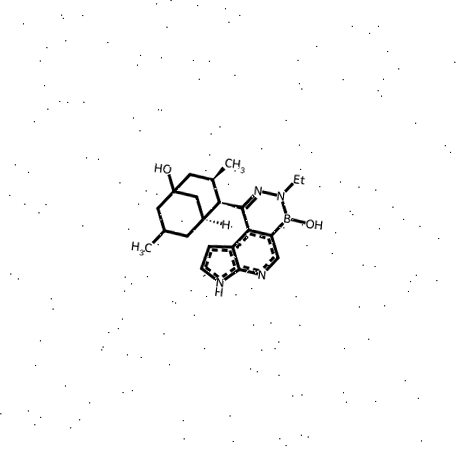 CCN1N=C([C@H]2[C@H]3CC(C)CC(O)(C3)C[C@H]2C)c2c(cnc3[nH]ccc23)B1O